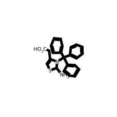 NC1SC=C(CC(=O)O)N1C(c1ccccc1)(c1ccccc1)c1ccccc1